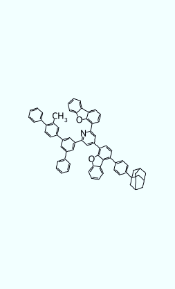 Cc1cc(-c2cc(-c3ccccc3)cc(-c3cc(-c4ccc(-c5ccc(C67CC8CC(CC(C8)C6)C7)cc5)c5c4oc4ccccc45)cc(-c4cccc5c4oc4ccccc45)n3)c2)ccc1-c1ccccc1